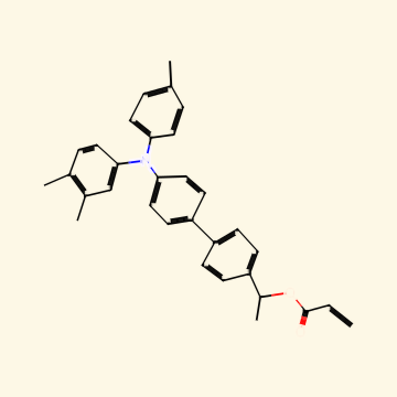 C=CC(=O)OC(C)c1ccc(-c2ccc(N(c3ccc(C)cc3)c3ccc(C)c(C)c3)cc2)cc1